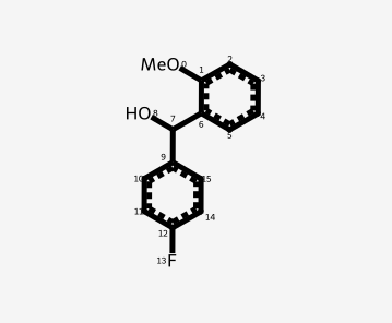 COc1ccccc1C(O)c1ccc(F)cc1